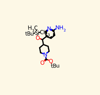 CC(C)(C)OC(=O)N1CCC(C(O[Si](C)(C)C(C)(C)C)c2ccc(N)nc2)CC1